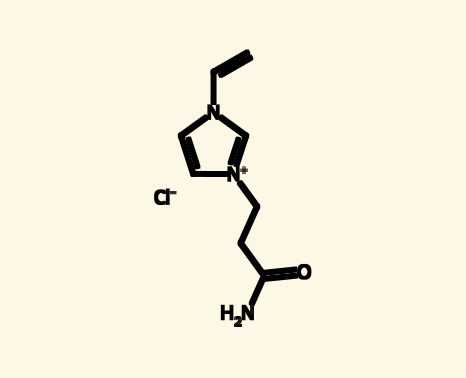 C=Cn1cc[n+](CCC(N)=O)c1.[Cl-]